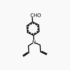 C=CCN(CC=C)c1ccc(C=O)cc1